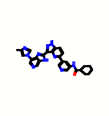 Cc1cn(-c2cncc3[nH]c(-c4n[nH]c5ccc(-c6cncc(NC(=O)C7CCCCC7)c6)nc45)nc23)cn1